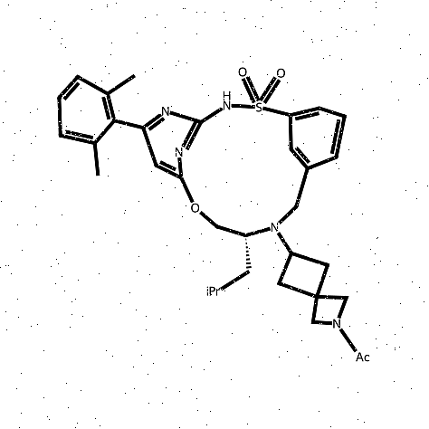 CC(=O)N1CC2(CC(N3Cc4cccc(c4)S(=O)(=O)Nc4nc(cc(-c5c(C)cccc5C)n4)OC[C@H]3CC(C)C)C2)C1